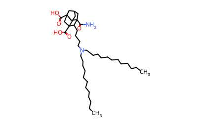 CCCCCCCCCCCCN(CCCCCCCCCCCC)CCCCC1C2(C(N)=O)CC3CC(C(=O)O)(C2)CC1(C(=O)O)C3